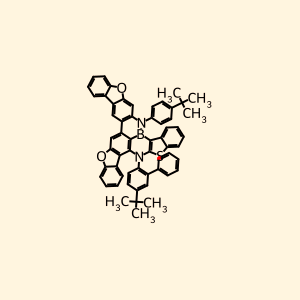 CC(C)(C)c1ccc(N2B3c4c(cc5oc6ccccc6c5c4N(c4ccc(C(C)(C)C)cc4-c4ccccc4)c4sc5ccccc5c43)-c3cc4c(cc32)oc2ccccc24)cc1